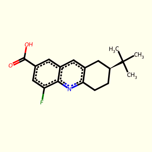 CC(C)(C)[C@H]1CCc2nc3c(F)cc(C(=O)O)cc3cc2C1